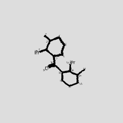 CC(C)C1C(C)CCCC1C(=O)C1CCCC(C)C1C(C)C